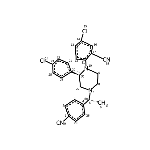 [C-]#[N+]c1ccc([C@@H](C)N2CCN(c3ccc(Cl)cc3C#N)[C@H](c3ccc(Cl)cc3)C2)cc1